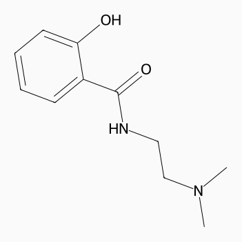 CN(C)CCNC(=O)c1ccccc1O